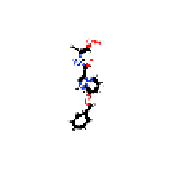 C[C@@H](CO)NC(=O)c1cnc2c(OCC3CCCCC3)cccn12